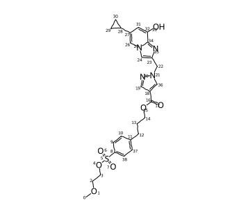 COCCOS(=O)(=O)c1ccc(CCCOC(=O)c2cnn(Cc3cn4cc(C5CC5)cc(O)c4n3)c2)cc1